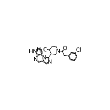 CC1CCN(C(=O)Cc2cccc(Cl)c2)CC1c1ncc2cnc3[nH]ccc3n12